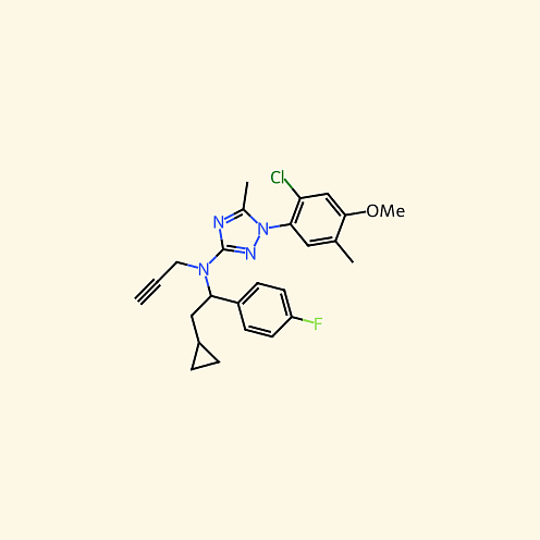 C#CCN(c1nc(C)n(-c2cc(C)c(OC)cc2Cl)n1)C(CC1CC1)c1ccc(F)cc1